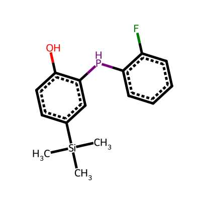 C[Si](C)(C)c1ccc(O)c(Pc2ccccc2F)c1